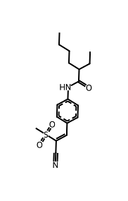 CCCCC(CC)C(=O)Nc1ccc(C=C(C#N)S(C)(=O)=O)cc1